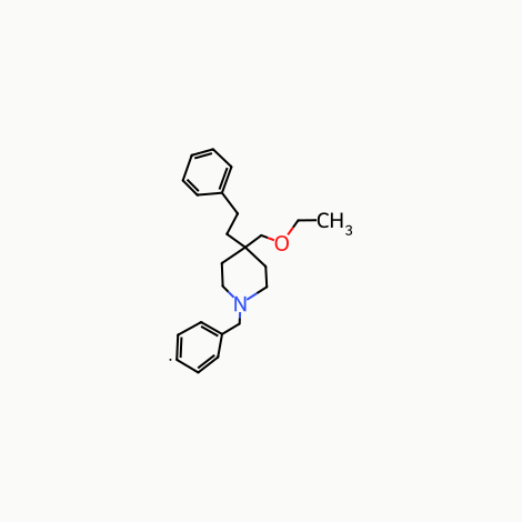 CCOCC1(CCc2ccccc2)CCN(Cc2cc[c]cc2)CC1